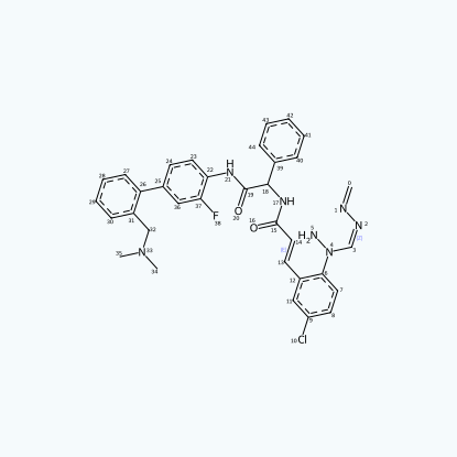 C=N/N=C\N(N)c1ccc(Cl)cc1/C=C/C(=O)NC(C(=O)Nc1ccc(-c2ccccc2CN(C)C)cc1F)c1ccccc1